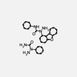 NC(=O)N(N)c1ccccc1.NN(C(=O)Nc1ccccc1)c1cccc2oc3ccccc3c12